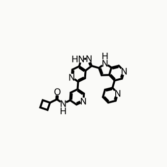 O=C(Nc1cncc(-c2cc3c(-c4cc5c(-c6ccccn6)cncc5[nH]4)n[nH]c3cn2)c1)C1CCC1